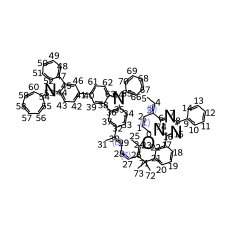 C/C=C\C(=C/C)c1nc(-c2ccccc2)nc(-c2cccc3c2OC(C)=C(/C=C\C=C(/C)c2ccc4c(c2)c2cc(-c5ccc6c(c5)c5ccccc5n6C5C=CC=CC=C5)ccc2n4-c2ccccc2)C3(C)C)n1